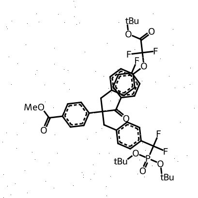 COC(=O)c1ccc(C(Cc2ccc(OC(F)(F)C(=O)OC(C)(C)C)cc2)(Cc2ccc(C(F)(F)P(=O)(OC(C)(C)C)OC(C)(C)C)cc2)C(=O)c2ccc(F)cc2)cc1